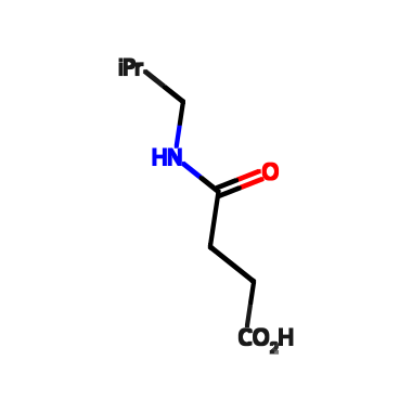 CC(C)CNC(=O)CCC(=O)O